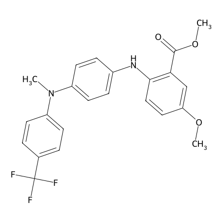 COC(=O)c1cc(OC)ccc1Nc1ccc(N(C)c2ccc(C(F)(F)F)cc2)cc1